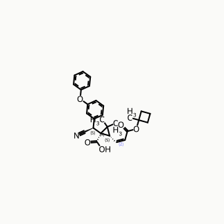 CC1(OC(=O)/C=C\[C@H]2C(C)(C)[C@]2(C(=O)O)[C@@H](C#N)c2cccc(Oc3ccccc3)c2)CCC1